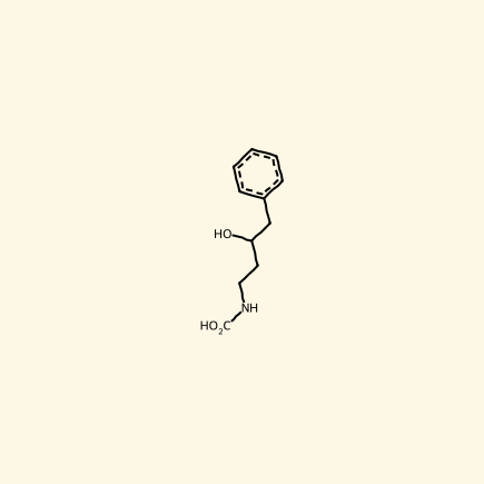 O=C(O)NCCC(O)Cc1ccccc1